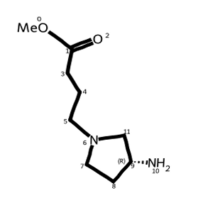 COC(=O)CCCN1CC[C@@H](N)C1